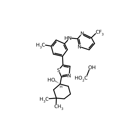 Cc1cc(Nc2nccc(C(F)(F)F)n2)cc(-c2cnc([C@@]3(O)CCCC(C)(C)C3)s2)c1.O=C(O)O